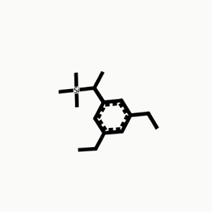 CCc1cc(CC)cc(C(C)[Si](C)(C)C)c1